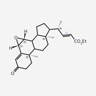 CCOC(=O)/C=C/[C@@H](C)C1CCC2C3C(CC[C@@]21C)[C@@]1(C)CCC(=O)C=C1[C@@H]1O[C@H]31